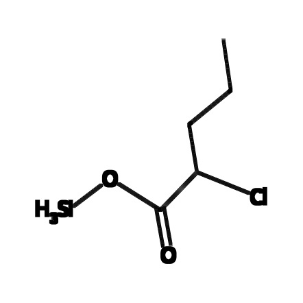 CCCC(Cl)C(=O)O[SiH3]